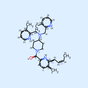 C=c1ccc(C(=O)N2CCC(N(Cc3ncccc3C)Cc3ncccc3C)CC2)n/c1=C/C=C\C